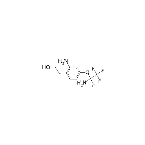 Nc1cc(OC(N)(F)C(F)(F)F)ccc1CCO